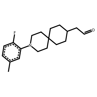 Cc1ccc(F)c(N2CCC3(CCC(CC=O)CC3)CC2)c1